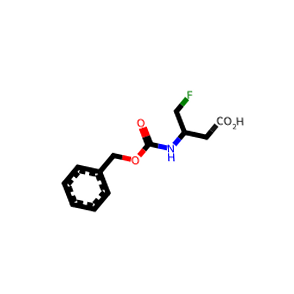 O=C(O)CC(CF)NC(=O)OCc1ccccc1